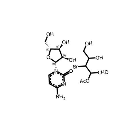 CC(=O)OC(C=O)C(Br)C(O)CO.Nc1ccn([C@@H]2O[C@H](CO)[C@@H](O)[C@H]2O)c(=O)n1